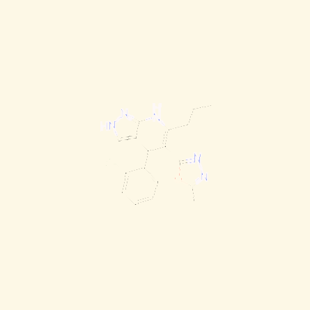 CCCC1=C(c2nnc(C)o2)C(c2ccccc2Cl)c2c[nH]nc2N1